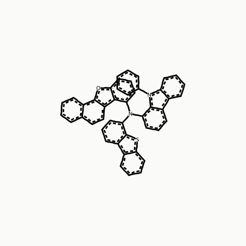 c1ccc(-n2c3ccccc3c3cccc(N(c4cccc5c4sc4ccccc45)c4cccc5oc6c7ccccc7ccc6c45)c32)cc1